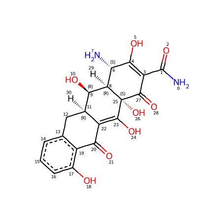 NC(=O)C1=C(O)[C@@H](N)[C@@H]2[C@H](O)[C@@H]3Cc4cccc(O)c4C(=O)C3=C(O)[C@]2(O)C1=O